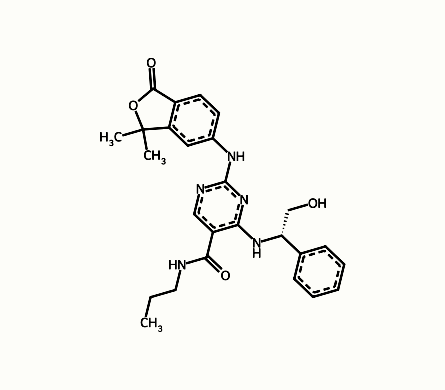 CCCNC(=O)c1cnc(Nc2ccc3c(c2)C(C)(C)OC3=O)nc1N[C@H](CO)c1ccccc1